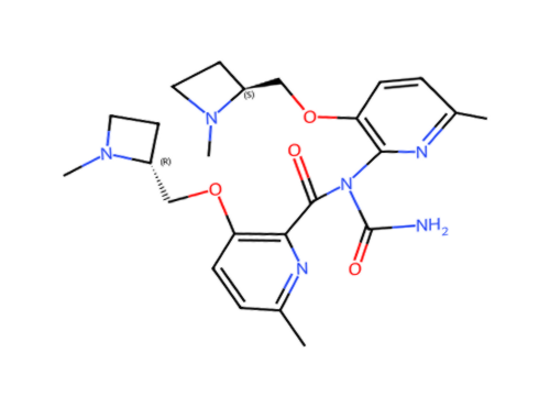 Cc1ccc(OC[C@H]2CCN2C)c(C(=O)N(C(N)=O)c2nc(C)ccc2OC[C@@H]2CCN2C)n1